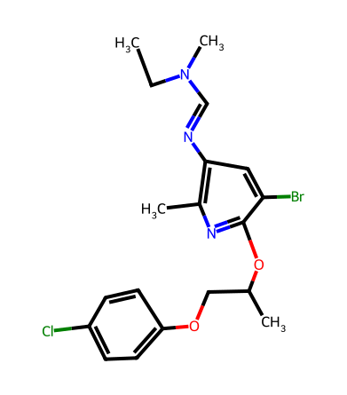 CCN(C)C=Nc1cc(Br)c(OC(C)COc2ccc(Cl)cc2)nc1C